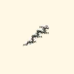 CCC(C)NCC(=O)N(CC(=O)N(CC(=O)N(CC(=O)N(CC(=O)N(CC(=O)N(CC(=O)N(CC(=O)N(CC(=O)N(CC(=O)N(CC(=O)N(CC(=O)N(CC(=O)N(C)CC(C)O)C(C)CC)CC(C)O)C(C)CC)CC(C)O)C(C)CC)CC(C)O)C(C)CC)CC(C)O)C(C)CC)CC(C)O)C(C)CC)CC(C)O